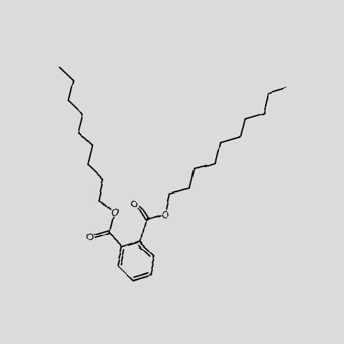 CCCCCCCCCCOC(=O)c1ccccc1C(=O)OCCCCCCCCC